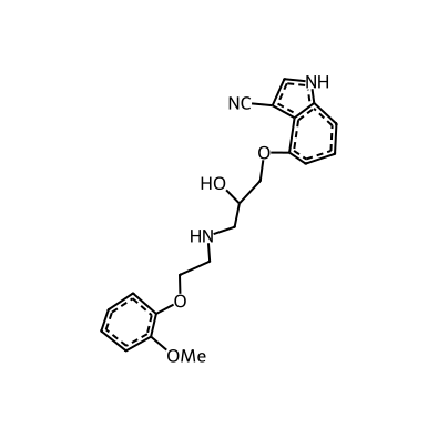 COc1ccccc1OCCNCC(O)COc1cccc2[nH]cc(C#N)c12